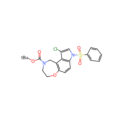 CC(C)(C)OC(=O)N1CCOc2ccc3c(c(Cl)cn3S(=O)(=O)c3ccccc3)c2C1